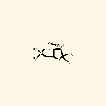 CC1(C)OCC(C[N+](C)(C)C)O1.O=S(=O)([O-])O